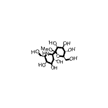 CO[C@]1(C2N[C@H](CO)[C@@H](O)[C@H](O)[C@H]2O)O[C@H](CO)[C@@H](O)[C@H](O)[C@H]1O